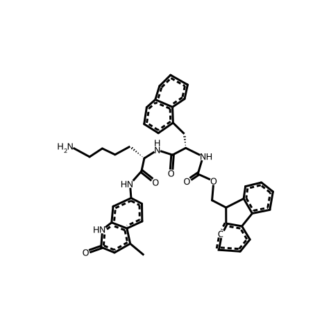 Cc1cc(=O)[nH]c2cc(NC(=O)[C@H](CCCCN)NC(=O)[C@H](Cc3cccc4ccccc34)NC(=O)OCC3c4ccccc4-c4ccccc43)ccc12